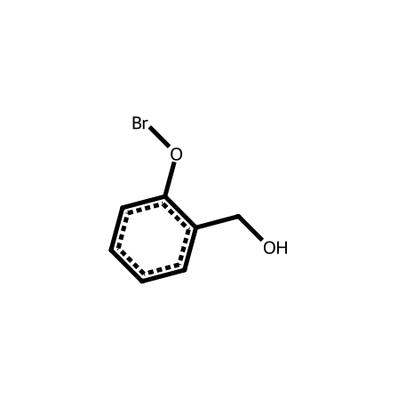 OCc1ccccc1OBr